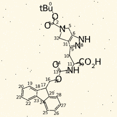 CC(C)(C)OC(=O)N1Cc2[nH]nc(C[C@H](NC(=O)OCC3c4ccccc4-c4ccccc43)C(=O)O)c2C1